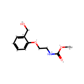 CC(C)(C)OC(=O)NCCOc1ccccc1CO